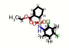 [2H]c1c([2H])c(NS(=O)(=O)[C@@H]2CCCC=C2C(=O)OCC)c(Cl)c([2H])c1F